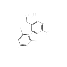 CCc1ccc(CC(=O)O)cc1.Cc1cccc(C)c1